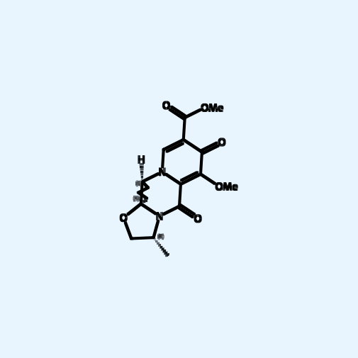 COC(=O)c1cn2c(c(OC)c1=O)C(=O)N1[C@H](C)CO[C@]13CCC[C@H]23